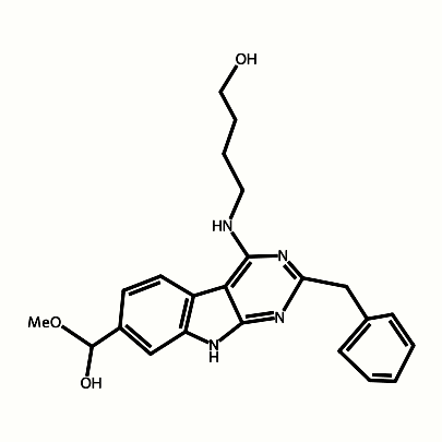 COC(O)c1ccc2c(c1)[nH]c1nc(Cc3ccccc3)nc(NCCCCO)c12